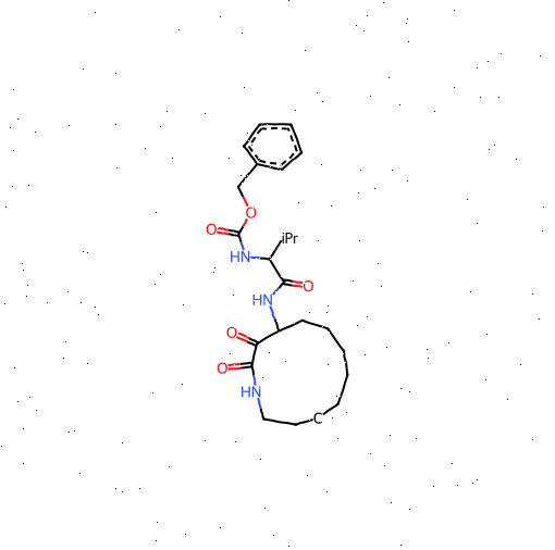 CC(C)C(NC(=O)OCc1ccccc1)C(=O)NC1CCCCCCCCNC(=O)C1=O